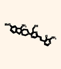 COc1ccc2c(c1)C(N)C1(CCN(c3ncc(C=Cc4ccnc(N)c4Cl)nc3CO)CC1)C2